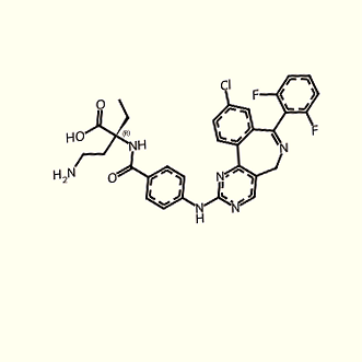 CC[C@](CCN)(NC(=O)c1ccc(Nc2ncc3c(n2)-c2ccc(Cl)cc2C(c2c(F)cccc2F)=NC3)cc1)C(=O)O